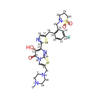 CN1CCN(Cc2cn3c(=O)c(O)c(-c4ncc(Cc5ccc(F)cc5CN5CCCS5(=O)=O)s4)nc3s2)CC1